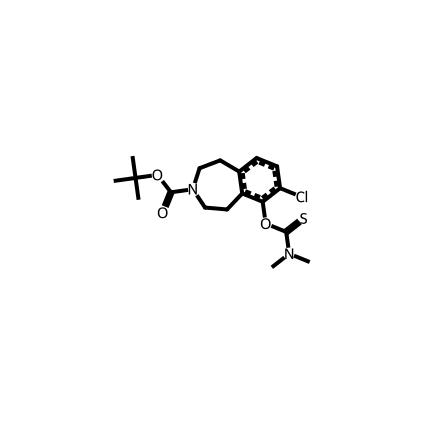 CN(C)C(=S)Oc1c(Cl)ccc2c1CCN(C(=O)OC(C)(C)C)CC2